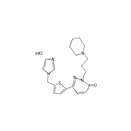 Cl.O=c1ccc(-c2ccc(Cn3ccnc3)s2)nn1CCCN1CCCCC1